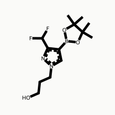 CC1(C)OB(c2cn(CCCO)nc2C(F)F)OC1(C)C